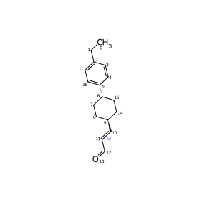 CCc1ccc([C@H]2CC[C@H](/C=C/C=O)CC2)cc1